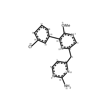 COc1ncc(Cc2ccnc(N)n2)nc1-c1cccc(Cl)c1